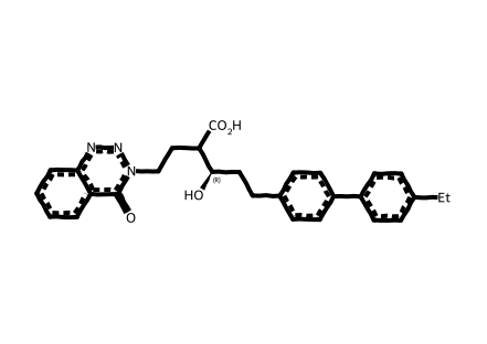 CCc1ccc(-c2ccc(CC[C@@H](O)C(CCn3nnc4ccccc4c3=O)C(=O)O)cc2)cc1